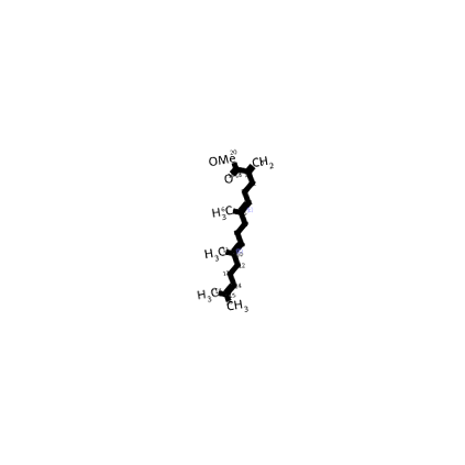 C=C(CC/C=C(\C)CC/C=C(\C)CCC=C(C)C)C(=O)OC